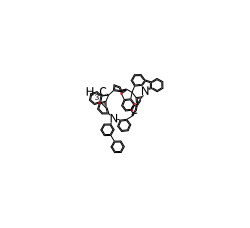 CC12c3ccc4c(c3)C3(c5ccccc5-4)c4ccc(cc4-n4c5ccccc5c5cccc3c54)-c3ccccc3N(c3cccc(-c4ccccc4)c3)c3cccc1c3-c1ccccc12